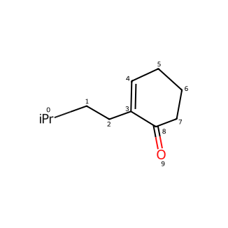 CC(C)CCC1=CCCCC1=O